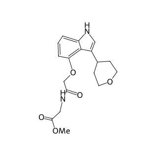 COC(=O)CNC(=O)COc1cccc2[nH]cc(C3CCOCC3)c12